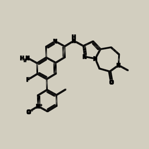 Cc1cc[n+]([O-])cc1-c1cc2cc(Nc3cc4n(n3)CC(=O)N(C)CC4)ncc2c(N)c1F